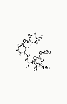 C[C@@H](C=Cc1cccc(Oc2ccc(F)cc2)c1)N(OC(=O)OC(C)(C)C)C(=O)OC(C)(C)C